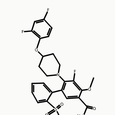 COc1c(C(N)=O)cc(-c2ccccc2S(C)(=O)=O)c(N2CCC(Oc3ccc(F)cc3F)CC2)c1F